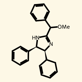 COC(C1=N[C@@H](C2C=CC=CC2)[C@@H](c2ccccc2)N1)c1ccccc1